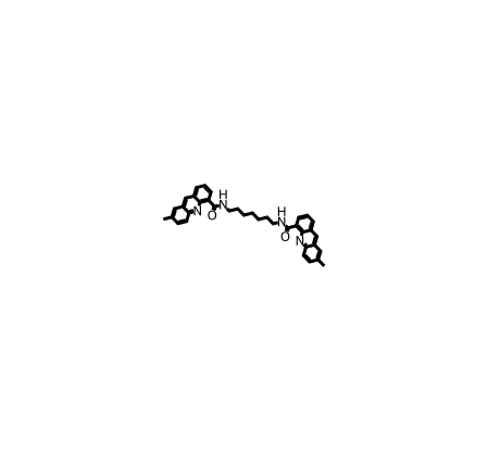 Cc1ccc2nc3c(C(=O)NCCCCCCCNC(=O)c4cccc5cc6cc(C)ccc6nc45)cccc3cc2c1